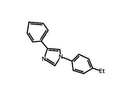 [CH2]Cc1ccc(-n2cnc(-c3ccccc3)c2)cc1